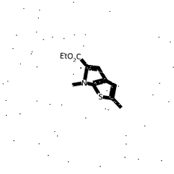 CCOC(=O)c1cc2cc(C)sc2n1C